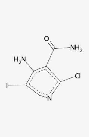 NC(=O)c1c(Cl)ncc(I)c1N